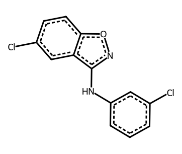 Clc1cccc(Nc2noc3ccc(Cl)cc23)c1